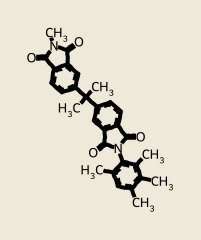 Cc1cc(C)c(N2C(=O)c3ccc(C(C)(C)c4ccc5c(c4)C(=O)N(C)C5=O)cc3C2=O)c(C)c1C